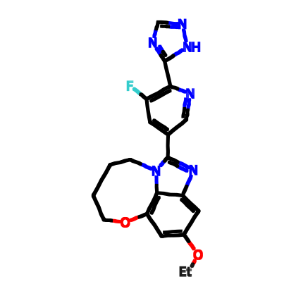 CCOc1cc2c3c(c1)nc(-c1cnc(-c4ncn[nH]4)c(F)c1)n3CCCCO2